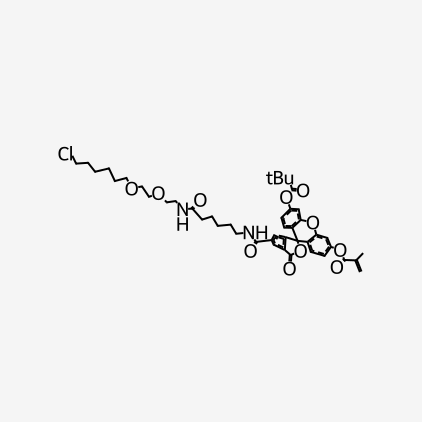 C=C(C)C(=O)Oc1ccc2c(c1)Oc1cc(OC(=O)C(C)(C)C)ccc1C21OC(=O)c2cc(C(=O)NCCCCCC(=O)NCCOCCOCCCCCCCl)ccc21